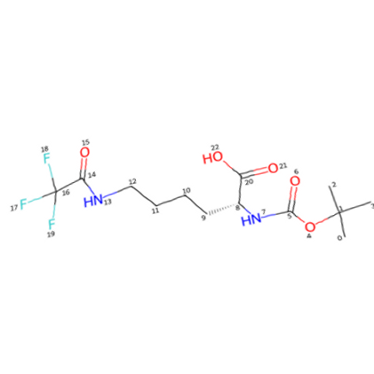 CC(C)(C)OC(=O)N[C@H](CCCCNC(=O)C(F)(F)F)C(=O)O